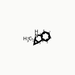 C[C@@]12CC1c1ccccc1N2